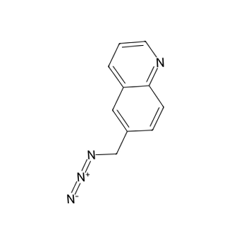 [N-]=[N+]=NCc1ccc2ncccc2c1